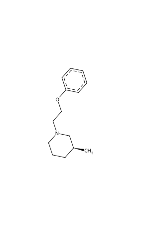 C[C@H]1CCCN(CCOc2ccccc2)C1